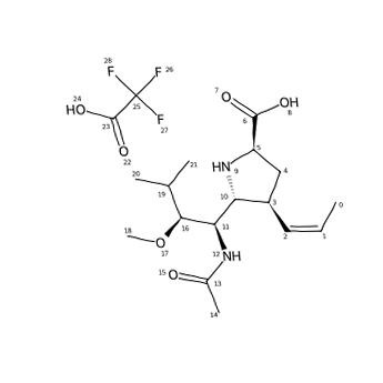 C/C=C\[C@@H]1C[C@H](C(=O)O)N[C@H]1[C@@H](NC(C)=O)[C@@H](OC)C(C)C.O=C(O)C(F)(F)F